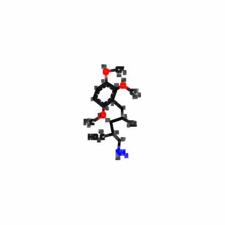 CCC(Cc1c(OC(F)(F)F)ccc(OC(F)(F)F)c1OC(F)(F)F)CC(CN)C(=O)O